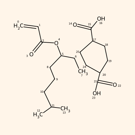 C=CC(=O)OC(CC)CCCC(C)C.O=C(O)C1CCC(C(=O)O)CC1